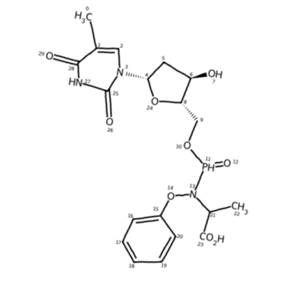 Cc1cn([C@@H]2C[C@@H](O)[C@H](CO[PH](=O)N(Oc3ccccc3)C(C)C(=O)O)O2)c(=O)[nH]c1=O